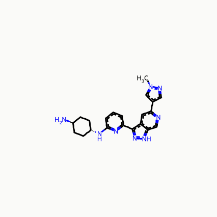 Cn1cc(-c2cc3c(-c4cccc(N[C@H]5CC[C@H](N)CC5)n4)n[nH]c3cn2)cn1